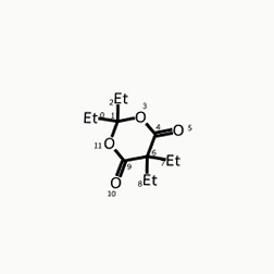 CCC1(CC)OC(=O)C(CC)(CC)C(=O)O1